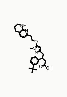 Cn1nc(CC(CC(=O)O)c2cccc(C(C)(C)C)c2)cc1OCCc1ccc2c(n1)NCCC2